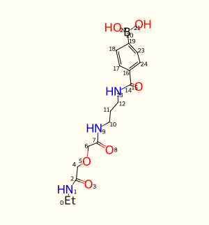 CCNC(=O)COCC(=O)NCCCNC(=O)c1ccc(B(O)O)cc1